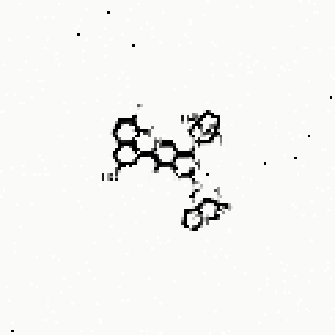 [2H][C@]1(F)CN2CCC[C@@]2(COc2nc(N3C[C@H]4CC[C@@H](C3)N4)c3cnc(-c4cc(O)cc5ccc(F)c(F)c45)c(F)c3n2)C1